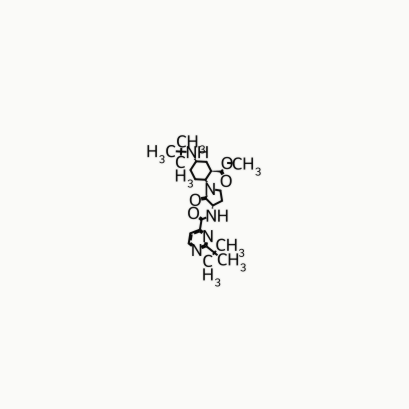 COC(=O)[C@@H]1C[C@H](NC(C)(C)C)CC[C@@H]1N1CC[C@H](NC(=O)c2ccnc(C(C)(C)C)n2)C1=O